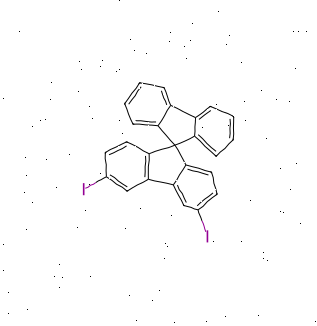 Ic1ccc2c(c1)-c1cc(I)ccc1C21c2ccccc2-c2ccccc21